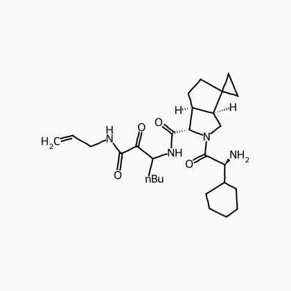 C=CCNC(=O)C(=O)C(CCCC)NC(=O)[C@@H]1[C@H]2CCC3(CC3)[C@H]2CN1C(=O)[C@@H](N)C1CCCCC1